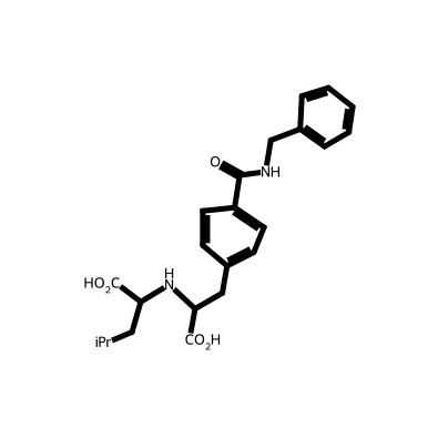 CC(C)CC(NC(Cc1ccc(C(=O)NCc2ccccc2)cc1)C(=O)O)C(=O)O